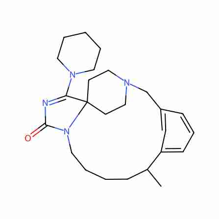 CC1CCCCN2C(=O)N=C(N3CCCCC3)C23CCN(CC3)Cc2cccc1c2